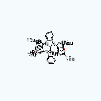 CC(C)(C)c1cc(N2c3ccccc3N(c3cc(C(C)(C)C)cc(C(C)(C)C)c3)C2C2N(c3cc(C(C)(C)C)cc(C(C)(C)C)c3)c3ccccc3N2c2cc(C(C)(C)C)ccc2C(C)(C)C)cc(C(C)(C)C)c1